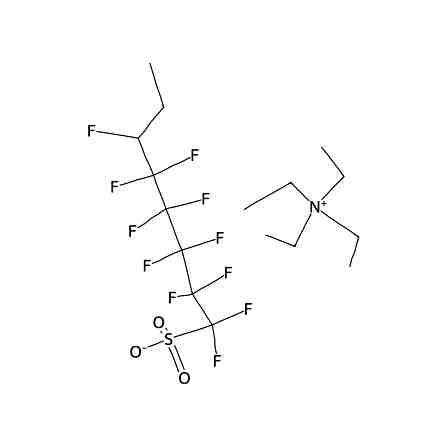 CCC(F)C(F)(F)C(F)(F)C(F)(F)C(F)(F)C(F)(F)S(=O)(=O)[O-].CC[N+](CC)(CC)CC